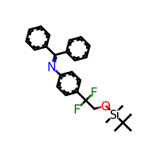 CC(C)(C)[Si](C)(C)OCC(F)(F)c1ccc(N=C(c2ccccc2)c2ccccc2)cc1